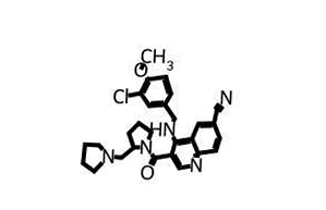 COc1ccc(CNc2c(C(=O)N3CCCC3CN3CCCC3)cnc3ccc(C#N)cc23)cc1Cl